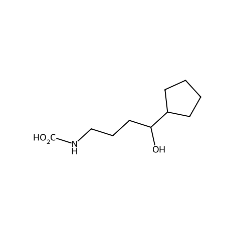 O=C(O)NCCCC(O)C1CCCC1